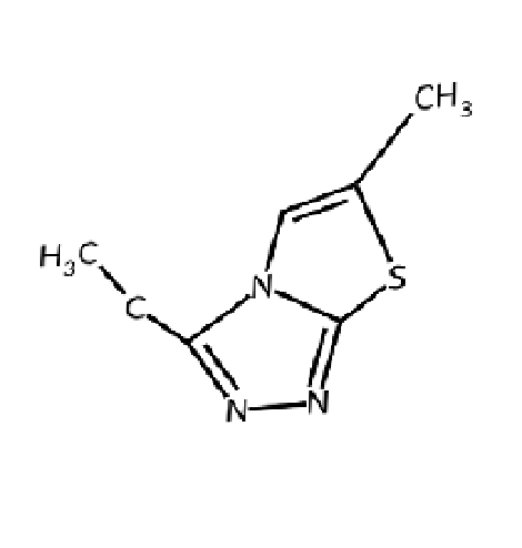 CCc1nnc2sc(C)cn12